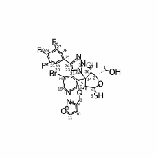 OC[C@@H]1O[C@@H](S)[C@@H](OCc2ccon2)[C@](c2cncc(Br)c2)(n2cc(-c3cc(F)c(F)c(F)c3)nn2)[C@@H]1O